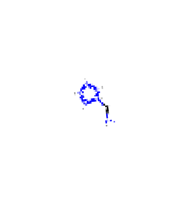 NCn1nnnn1